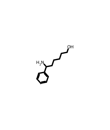 NC(CCCCCO)c1cc[c]cc1